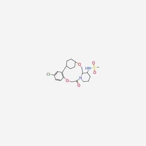 CS(=O)(=O)NC1CCCN2C(=O)COc3ccc(Cl)cc3C3CCC(CC3)OCC12